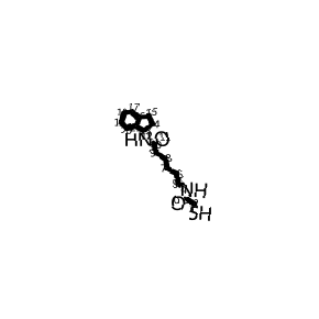 O=C(CS)NCCCCCC(=O)NC1CCc2ccccc21